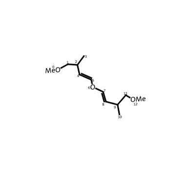 COCC(C)C=COC=CC(C)COC